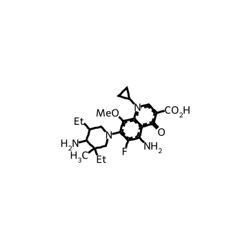 CCC1CN(c2c(F)c(N)c3c(=O)c(C(=O)O)cn(C4CC4)c3c2OC)CC(C)(CC)C1N